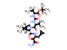 C=C(C)[C@H](NC(=O)N[C@H](C(=O)N1C[C@H]2[C@@H]([C@H]1C(=O)NC(CC1CC1)C(=O)C(N)=O)C2(C)C)C(C)C)C(=O)OC(C)(C)C